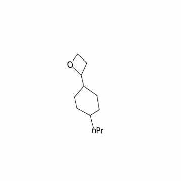 CCCC1CCC(C2CCO2)CC1